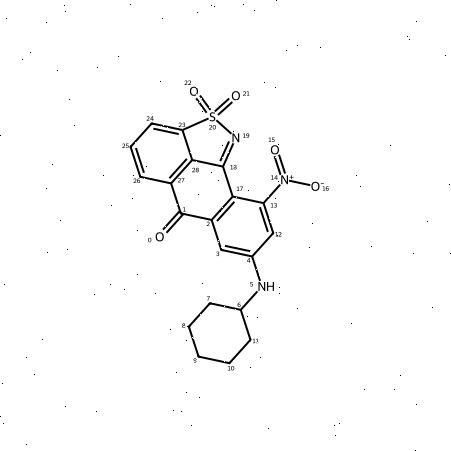 O=C1c2cc(NC3CCCCC3)cc([N+](=O)[O-])c2C2=NS(=O)(=O)c3cccc1c32